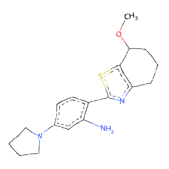 COC1CCCc2nc(-c3ccc(N4CCCC4)cc3N)sc21